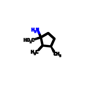 CC1[C@H](C)CCC1(N)C(=O)O